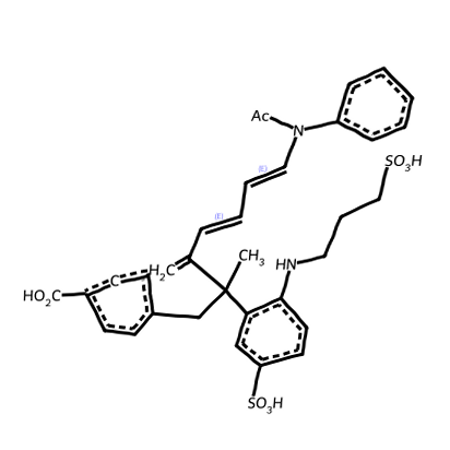 C=C(/C=C/C=C/N(C(C)=O)c1ccccc1)C(C)(Cc1ccc(C(=O)O)cc1)c1cc(S(=O)(=O)O)ccc1NCCCS(=O)(=O)O